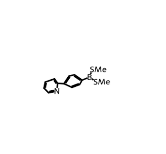 CSB(SC)c1ccc(-c2ccccn2)cc1